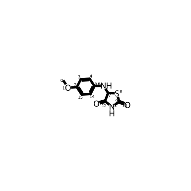 COc1ccc(NC2SC(=O)NC2=O)cc1